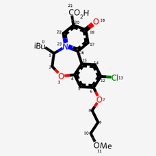 CCC(C)C1COc2cc(OCCCOC)c(Cl)cc2-c2cc(=O)c(C(=O)O)cn21